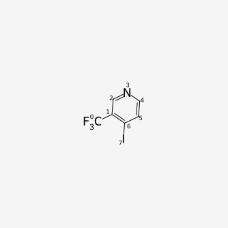 FC(F)(F)c1cnccc1I